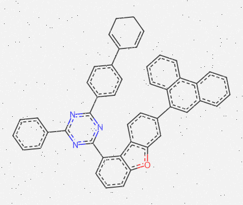 C1=CC(c2ccc(-c3nc(-c4ccccc4)nc(-c4cccc5oc6cc(-c7cc8ccccc8c8ccccc78)ccc6c45)n3)cc2)=CCC1